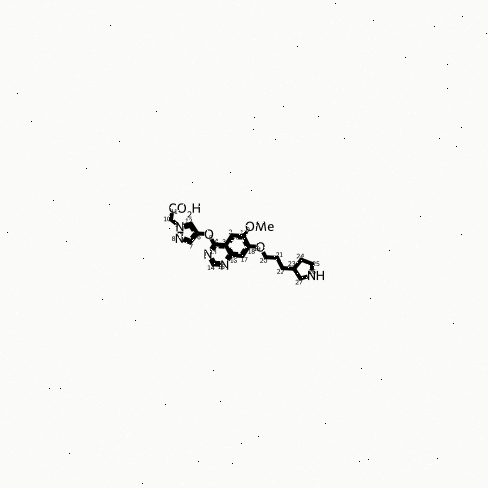 COc1cc2c(Oc3cnn(CC(=O)O)c3)ncnc2cc1OCCCC1CCNC1